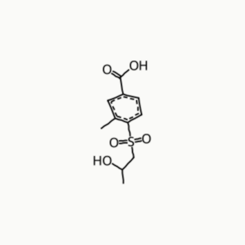 Cc1cc(C(=O)O)ccc1S(=O)(=O)CC(C)O